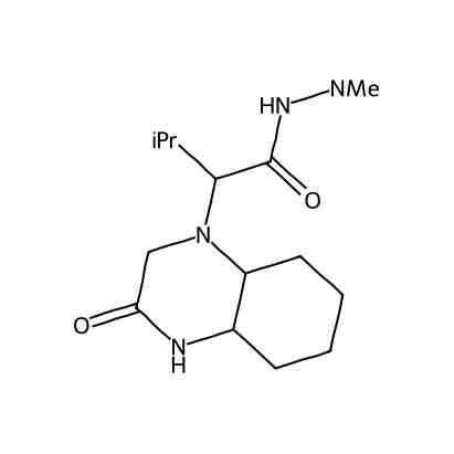 CNNC(=O)C(C(C)C)N1CC(=O)NC2CCCCC21